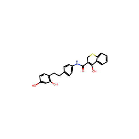 O=C(Nc1ccc(CCc2ccc(O)cc2O)cc1)C1=C(O)c2ccccc2SC1